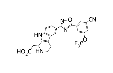 N#Cc1cc(OC(F)(F)F)cc(-c2nc(-c3ccc4[nH]c5c(c4c3)CCNC5CC(=O)O)no2)c1